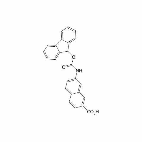 O=C(Nc1ccc2ccc(C(=O)O)cc2c1)OC1c2ccccc2-c2ccccc21